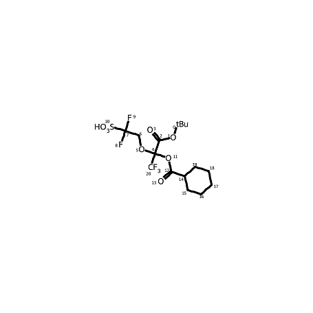 CC(C)(C)OC(=O)C(OCC(F)(F)S(=O)(=O)O)(OC(=O)C1CCCCC1)C(F)(F)F